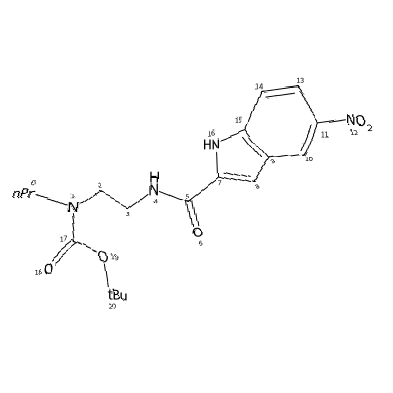 CCCN(CCNC(=O)c1cc2cc([N+](=O)[O-])ccc2[nH]1)C(=O)OC(C)(C)C